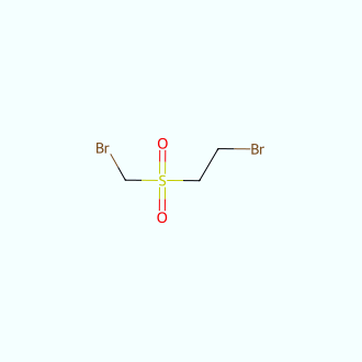 O=S(=O)(CBr)CCBr